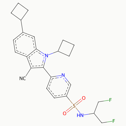 N#Cc1c(-c2ccc(S(=O)(=O)NC(CF)CF)cn2)n(C2CCC2)c2cc(C3CCC3)ccc12